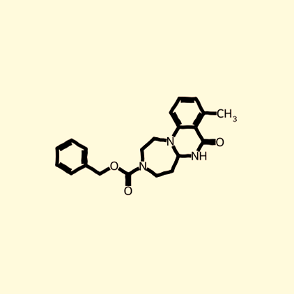 Cc1cccc2c1C(=O)NC1CCN(C(=O)OCc3ccccc3)CCN21